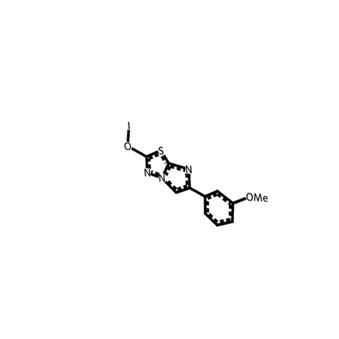 COc1cccc(-c2cn3nc(OI)sc3n2)c1